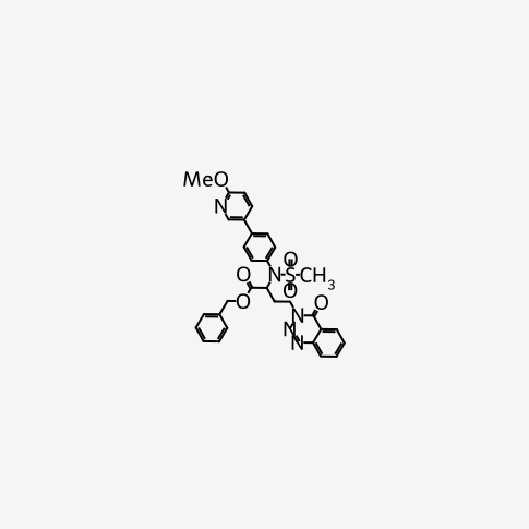 COc1ccc(-c2ccc(N(C(CCn3nnc4ccccc4c3=O)C(=O)OCc3ccccc3)S(C)(=O)=O)cc2)cn1